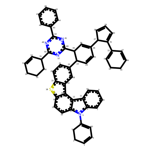 C1=CCCC(n2c3ccccc3c3c4c(ccc32)sc2ccc(C3C=CC(C5C=CC=C5C5=CCCC=C5)=CC3c3nc(-c5ccccc5)nc(C5C=CCCC5)n3)cc24)=C1